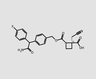 N#CC[C@]1(C(=O)O)CCN1C(=O)OCc1ccc(C(C(N)=O)c2ccc(F)cc2)cc1